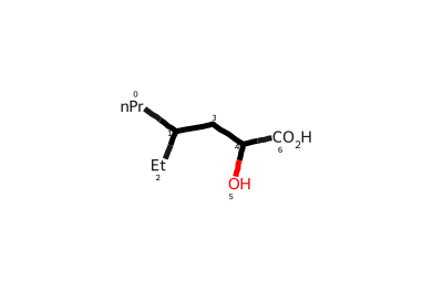 CCCC(CC)CC(O)C(=O)O